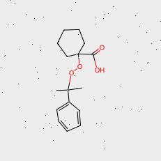 CC(C)(OOC1(C(=O)O)CCCCC1)c1ccccc1